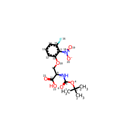 CC(C)(C)OC(=O)NC(COc1cccc(F)c1[N+](=O)[O-])C(=O)O